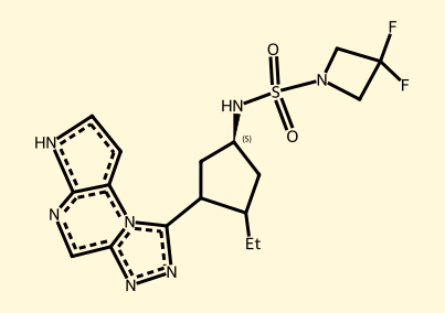 CCC1C[C@H](NS(=O)(=O)N2CC(F)(F)C2)CC1c1nnc2cnc3[nH]ccc3n12